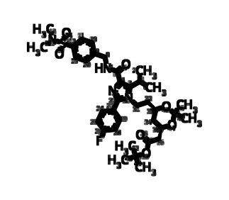 CC(C)c1c(C(=O)NCc2ccc(S(=O)(=O)N(C)C)cc2)nc(-c2ccc(F)cc2)n1CC[C@@H]1C[C@H](CC(=O)OC(C)(C)C)OC(C)(C)O1